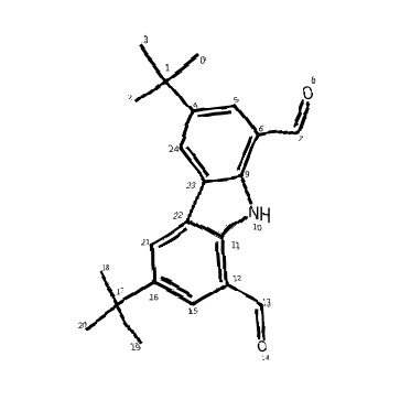 CC(C)(C)c1cc(C=O)c2[nH]c3c(C=O)cc(C(C)(C)C)cc3c2c1